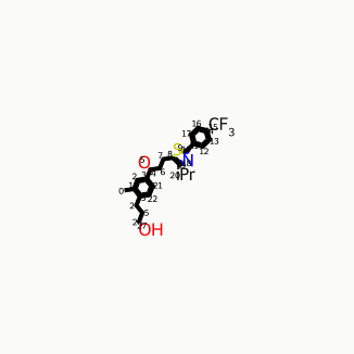 Cc1cc(C(=O)CCc2sc(-c3ccc(C(F)(F)F)cc3)nc2C(C)C)ccc1CCCO